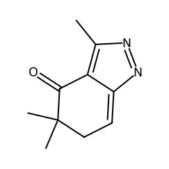 CC1=C2C(=O)C(C)(C)CC=C2N=N1